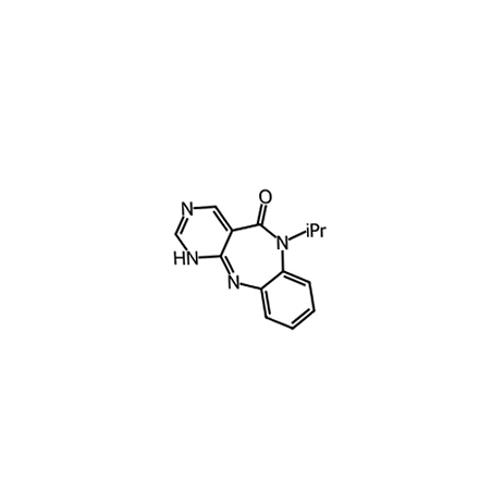 CC(C)N1C(=O)C2=CN=CNC2=Nc2ccccc21